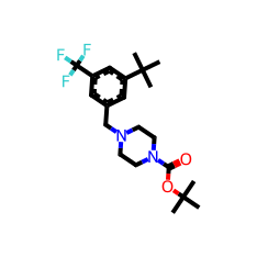 CC(C)(C)OC(=O)N1CCN(Cc2cc(C(C)(C)C)cc(C(F)(F)F)c2)CC1